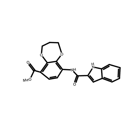 COC(=O)c1ccc(NC(=O)c2cc3ccccc3[nH]2)c2c1OCCCO2